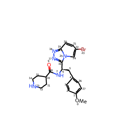 COc1ccc(C[C@@H](NC(=O)C2CCNCC2)c2nnc3ccc(Br)cn23)cc1